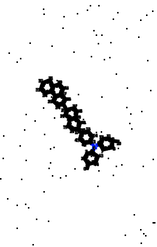 Cc1ccc(N(c2ccc(C)cc2)c2ccc(-c3ccc4cc(-c5ccc6c(ccc7ccccc76)c5)ccc4c3)cc2)cc1